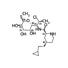 CS[C@H]1O[C@H]([C@H](NC(=O)[C@@H]2C[C@H](CCC3CC3)CCN2)[C@H](C)Cl)[C@H](O)[C@H](O)[C@H]1O